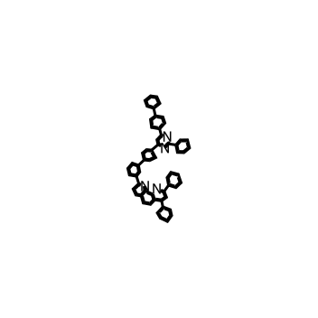 c1ccc(-c2ccc(-c3cc(-c4ccc(-c5cccc(-c6ccc7ccc8c(-c9ccccc9)cc(-c9ccccc9)nc8c7n6)c5)cc4)nc(-c4ccccc4)n3)cc2)cc1